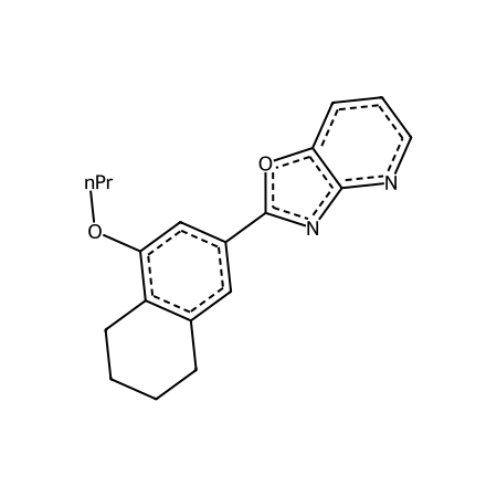 CCCOc1cc(-c2nc3ncccc3o2)cc2c1CCCC2